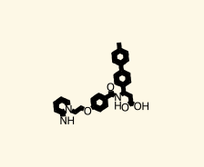 Cc1ccc(-c2ccc(C(CC(=O)O)NC(=O)c3ccc(OCCn4ccccc4=N)cc3)cc2)cc1